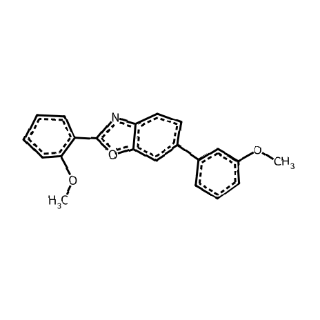 COc1cccc(-c2ccc3nc(-c4ccccc4OC)oc3c2)c1